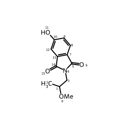 COC(C)CN1C(=O)c2ccc(O)cc2C1=O